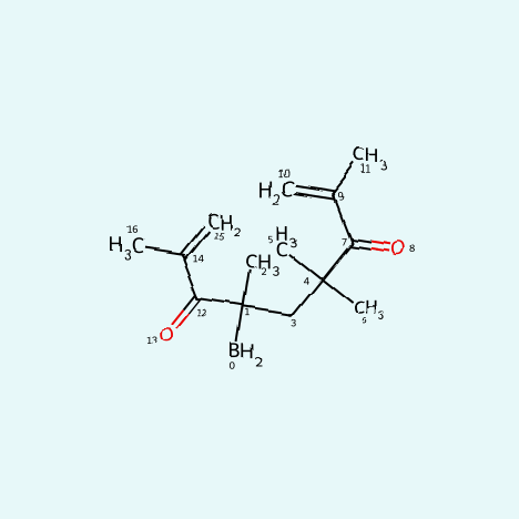 BC(C)(CC(C)(C)C(=O)C(=C)C)C(=O)C(=C)C